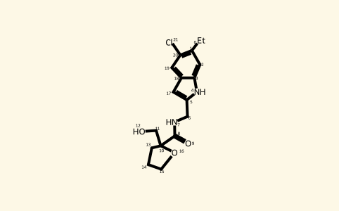 CCc1cc2[nH]c(CNC(=O)C3(CO)CCCO3)cc2cc1Cl